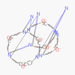 [O-][S+]1Cc2ccc(cc2)-c2nc3nc(n2)-c2ccc(cc2)C[S@+]([O-])Cc2ccc(cc2)-c2nc4nc(n2)-c2ccc(cc2)C[S+]([O-])Cc2ccc(cc2)-c2nc(nc(n2)-c2ccc(cc2)C[S@@+]([O-])Cc2ccc(cc2)-c2nc(nc(n2)-c2ccc(cc2)C[S+]([O-])Cc2ccc-4cc2)-c2ccc(cc2)C1)-c1ccc(cc1)C[S+]([O-])Cc1ccc-3cc1